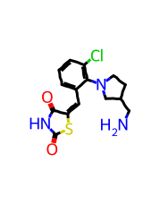 NCC1CCN(c2c(Cl)cccc2C=C2SC(=O)NC2=O)C1